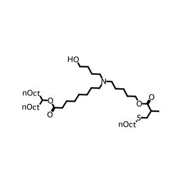 CCCCCCCCSCC(C)C(=O)OCCCCCN(CCCCO)CCCCCCCC(=O)OC(CCCCCCCC)CCCCCCCC